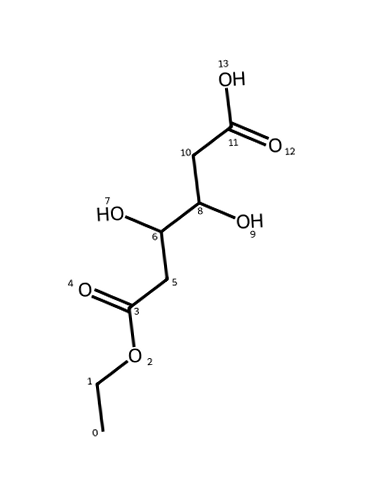 CCOC(=O)CC(O)C(O)CC(=O)O